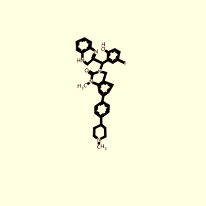 CN1CCC(c2ccc(-c3ccc4c(c3)N(C)C(=O)N(C(C3=Nc5ccccc5NC3)c3cc(I)ccc3O)C4)cc2)CC1